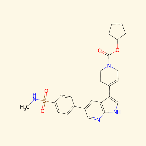 CNS(=O)(=O)c1ccc(-c2cnc3[nH]cc(C4=CCN(C(=O)OC5CCCC5)CC4)c3c2)cc1